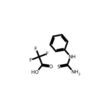 NC(=S)Nc1ccccc1.O=C(O)C(F)(F)F